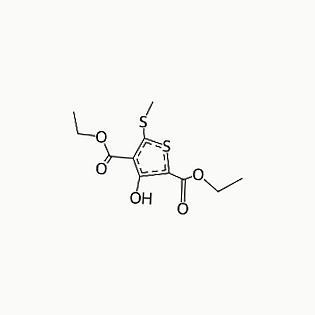 CCOC(=O)c1sc(SC)c(C(=O)OCC)c1O